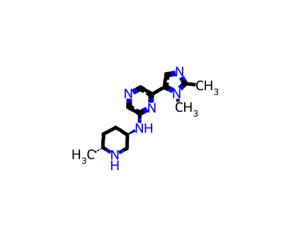 Cc1ncc(-c2cncc(N[C@@H]3CC[C@@H](C)NC3)n2)n1C